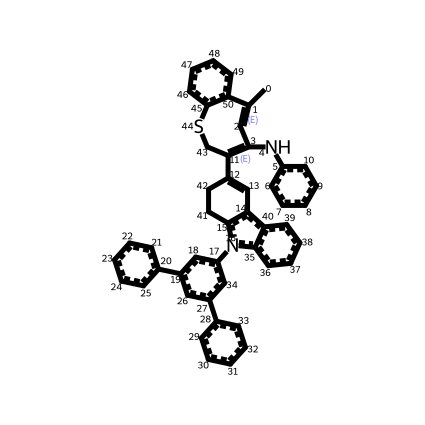 C/C1=C\C(Nc2ccccc2)=C(\C2=Cc3c(n(-c4cc(-c5ccccc5)cc(-c5ccccc5)c4)c4ccccc34)CC2)CSc2ccccc21